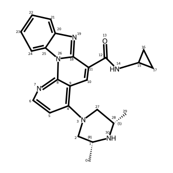 C[C@@H]1CN(c2ccnc3c2cc(C(=O)NC2CC2)c2nc4ccccc4n23)C[C@H](C)N1